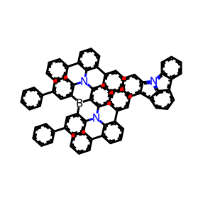 c1ccc(-c2ccc3c(c2)B2c4cc(-c5ccccc5)ccc4N(c4c(-c5ccccc5)cccc4-c4ccccc4)c4cc(-c5ccc6c(c5)c5cccc7c8ccccc8n6c75)cc(c42)N3c2c(-c3ccccc3)cccc2-c2ccccc2)cc1